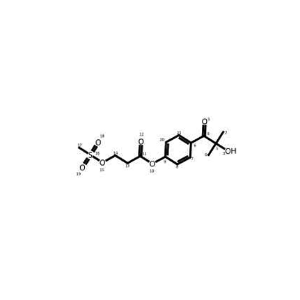 CC(C)(O)C(=O)c1ccc(OC(=O)CCOS(C)(=O)=O)cc1